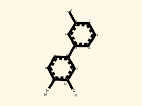 [CH2]c1cccc(-c2ccc(F)c(F)c2)c1